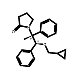 C[C@@](c1ccccc1)([C@@H](OCC1CC1)c1ccccc1)N1CCCC1=O